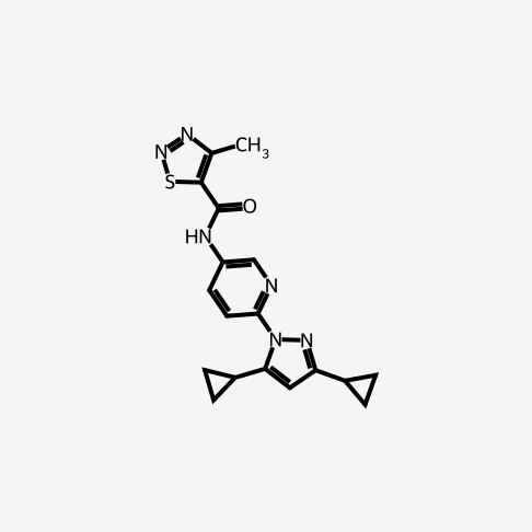 Cc1nnsc1C(=O)Nc1ccc(-n2nc(C3CC3)cc2C2CC2)nc1